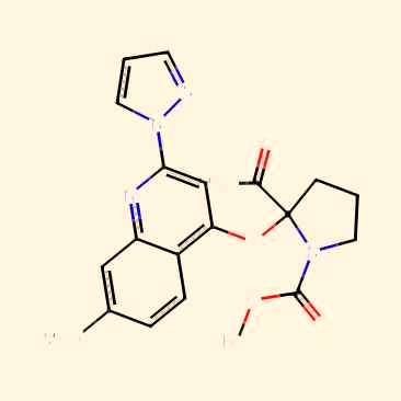 COC(=O)C1(Oc2cc(-n3cccn3)nc3cc(OC)ccc23)CCCN1C(=O)OC(C)(C)C